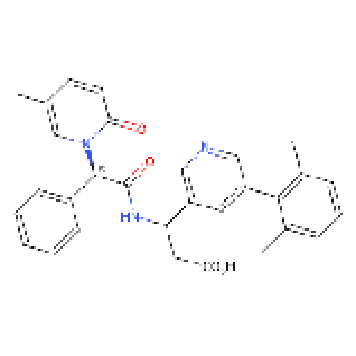 Cc1ccc(=O)n([C@@H](C(=O)NC(CC(=O)O)c2cncc(-c3c(C)cccc3C)c2)c2ccccc2)c1